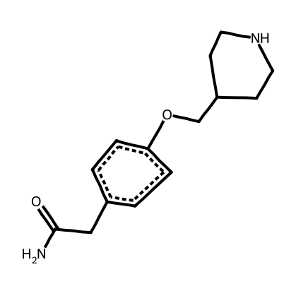 NC(=O)Cc1ccc(OCC2CCNCC2)cc1